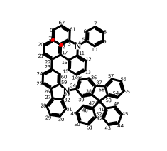 c1ccc(N(c2ccccc2)c2ccccc2-c2ccccc2-c2ccc3c4ccccc4n(-c4ccc5c(c4)C(c4ccccc4)(c4ccccc4)c4ccccc4-5)c3c2)cc1